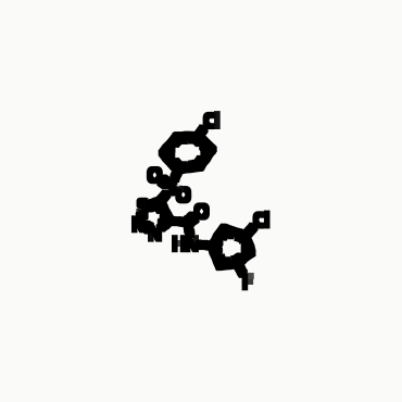 O=C(Nc1cc(F)cc(Cl)c1)c1nnsc1S(=O)(=O)c1ccc(Cl)cc1